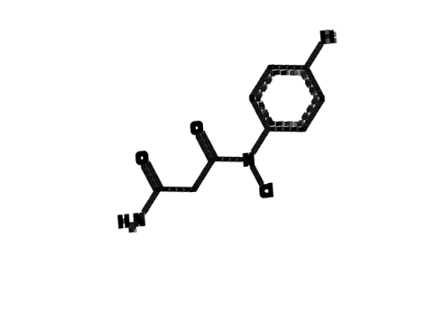 CCc1ccc(N(Cl)C(=O)CC(N)=O)cc1